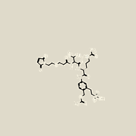 CC(C)C(NC(=O)CCOCCN1C(=O)C=CC1=O)C(=O)N[C@@H](CCCNC(N)=O)C(=O)Nc1ccc(COC(=O)O)c(CCS(=O)(=O)O)c1